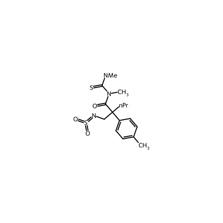 CCCC(CN=S(=O)=O)(C(=O)N(C)C(=S)NC)c1ccc(C)cc1